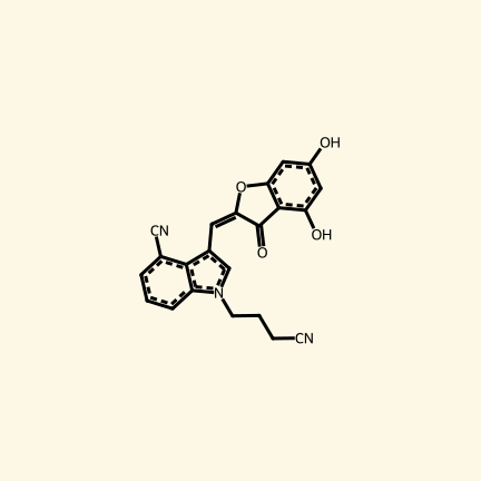 N#CCCCn1cc(/C=C2/Oc3cc(O)cc(O)c3C2=O)c2c(C#N)cccc21